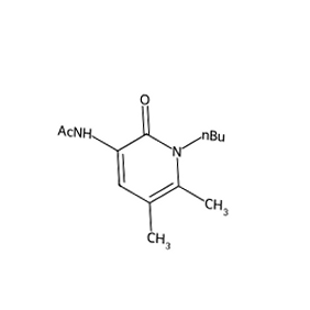 CCCCn1c(C)c(C)cc(NC(C)=O)c1=O